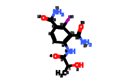 CC(O)C(=O)Nc1ccc(C(N)=O)c(I)c1C(N)=O